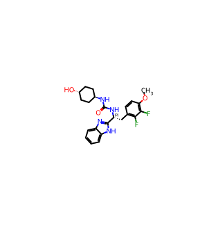 COc1ccc(C[C@@H](NC(=O)N[C@H]2CC[C@H](O)CC2)c2nc3ccccc3[nH]2)c(F)c1F